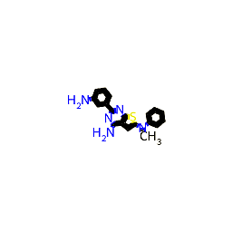 CN(c1ccccc1)c1cc2c(N)nc(-c3cccc(N)c3)nc2s1